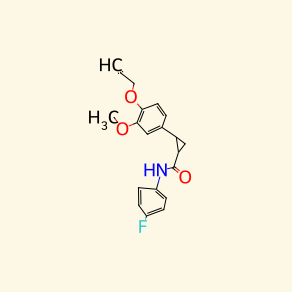 C#CCOc1ccc(C2CC2C(=O)Nc2ccc(F)cc2)cc1OC